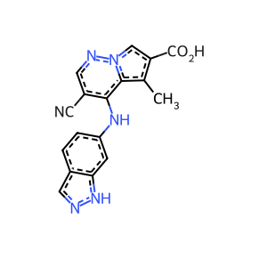 Cc1c(C(=O)O)cn2ncc(C#N)c(Nc3ccc4cn[nH]c4c3)c12